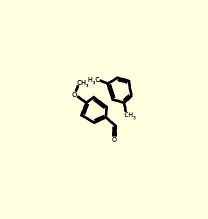 COc1ccc(C=O)cc1.Cc1cccc(C)c1